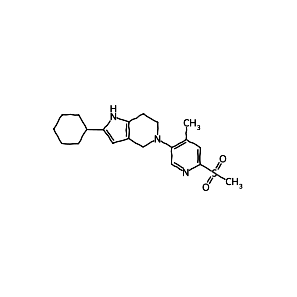 Cc1cc(S(C)(=O)=O)ncc1N1CCc2[nH]c(C3CCCCC3)cc2C1